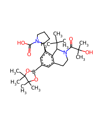 CC(C)(O)C(=O)N1CCc2cc(B3OC(C)(C)C(C)(C)O3)cc([C@@H]3CCCN3C(=O)O)c2C1C(C)(C)C